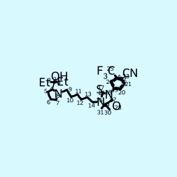 CCC(O)(CC)[C@@H]1CCCN1CCCCCCN1C(=S)N(c2ccc(C#N)c(C(F)(F)F)c2)C(=O)C1(C)C